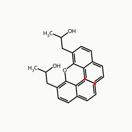 CC(O)Cc1ccc2ccccc2c1Oc1c(CC(C)O)ccc2ccccc12